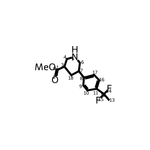 COC(=O)C1CNCC(c2ccc(C(C)(F)F)cc2)C1